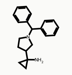 NC1(C2CCN(C(c3ccccc3)c3ccccc3)C2)CC1